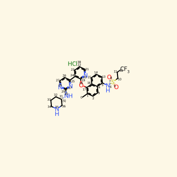 Cc1ccc2c(NS(=O)(=O)CCC(F)(F)F)cccc2c1Oc1ncccc1-c1ccnc(N[C@H]2CCCNC2)n1.Cl